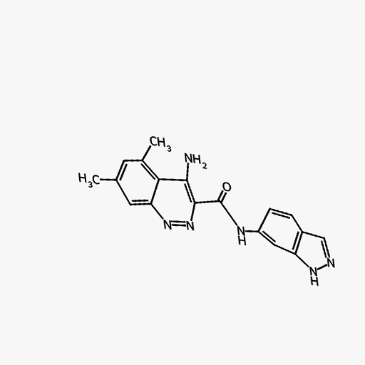 Cc1cc(C)c2c(N)c(C(=O)Nc3ccc4cn[nH]c4c3)nnc2c1